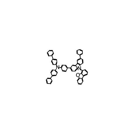 c1ccc(-c2ccc(N(c3ccc(-c4ccccc4)cc3)c3ccc(-c4ccc5c(c4)c4cc(-c6ccccc6)ccc4n5-c4cccc5c4oc4ccccc45)cc3)cc2)cc1